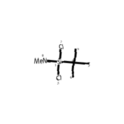 CN[Si](Cl)(Cl)C(C)(C)C